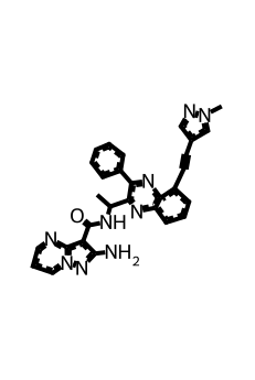 CC(NC(=O)c1c(N)nn2cccnc12)c1nc2cccc(C#Cc3cnn(C)c3)c2nc1-c1ccccc1